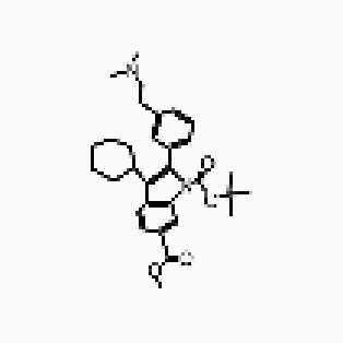 COC(=O)c1ccc2c(C3CCCCC3)c(-c3cccc(CCN(C)C)c3)n(C(=O)OC(C)(C)C)c2c1